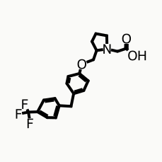 O=C(O)CN1CCCC1COc1ccc(Cc2ccc(C(F)(F)F)cc2)cc1